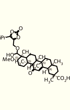 CO[C@H]1CC[C@@]2(C)C(CC[C@]3(C)[C@@H]2C(=O)C=C2[C@@H]4C[C@@](C)(C(=O)O)CC[C@]4(C)CC[C@]23C)[C@]1(C)C(O)OCc1oc(=O)oc1C(C)C